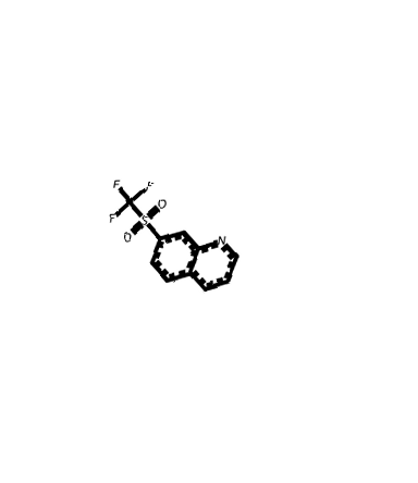 O=S(=O)(c1ccc2cccnc2c1)C(F)(F)F